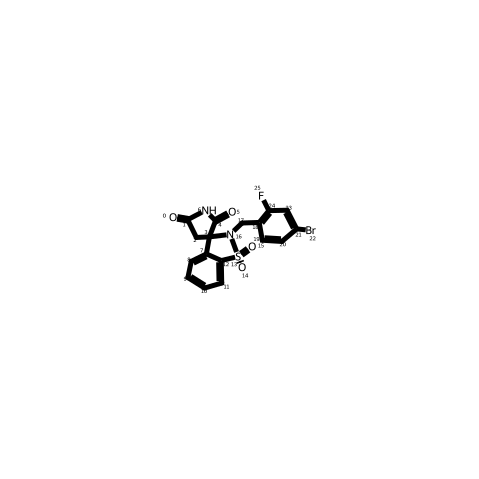 O=C1CC2(C(=O)N1)c1ccccc1S(=O)(=O)N2Cc1ccc(Br)cc1F